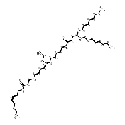 CCCC/C=C\CCOC(=O)CCCCCCCN(CCO)CCCCCCOC(=O)CCC(OCCCCCCCC)OCCCCCCCC